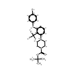 CC(C)(C)OC(=O)N1CCN(c2cccc(Sc3ccc(F)cc3)c2C(F)(F)F)CC1